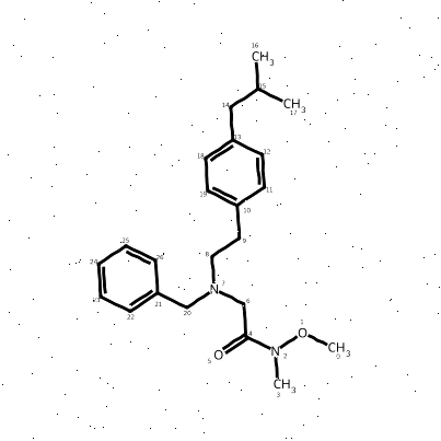 CON(C)C(=O)CN(CCc1ccc(CC(C)C)cc1)Cc1ccccc1